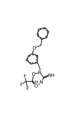 N=C(N)N(Cc1cccc(OCc2ccccc2)c1)OC(=O)C(F)(F)F